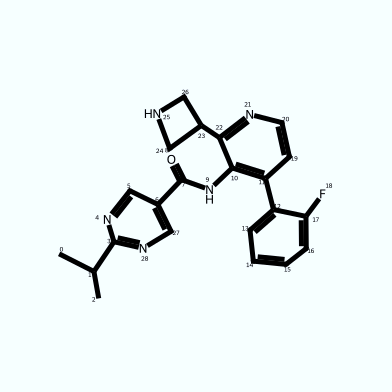 CC(C)c1ncc(C(=O)Nc2c(-c3ccccc3F)ccnc2C2CNC2)cn1